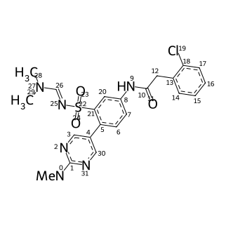 CNc1ncc(-c2ccc(NC(=O)Cc3ccccc3Cl)cc2S(=O)(=O)N=CN(C)C)cn1